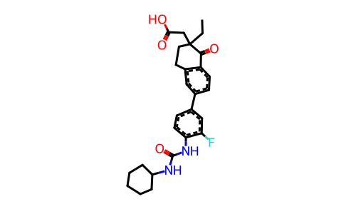 CCC1(CC(=O)O)CCc2cc(-c3ccc(NC(=O)NC4CCCCC4)c(F)c3)ccc2C1=O